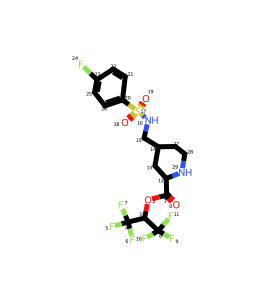 O=C(OC(C(F)(F)F)C(F)(F)F)C1CC(CNS(=O)(=O)c2ccc(F)cc2)CCN1